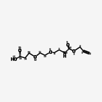 C#CCOC(=O)NCCOCCOCCC(=O)O